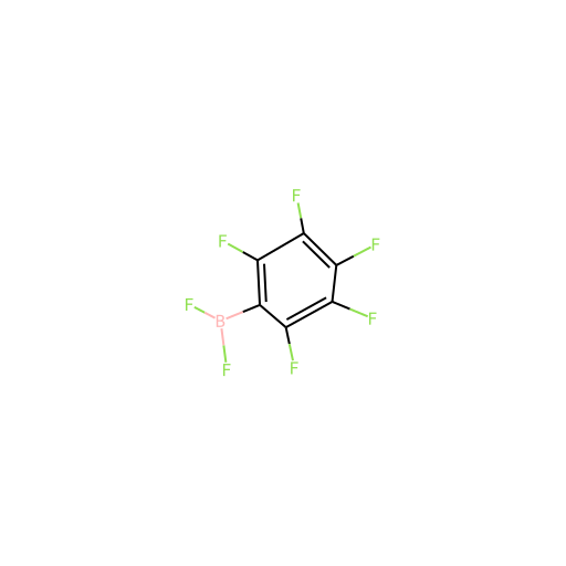 FB(F)c1c(F)c(F)c(F)c(F)c1F